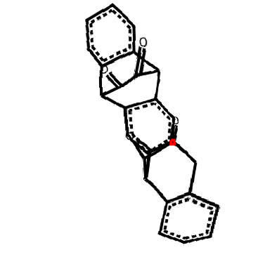 O=C1C(=O)C2c3ccccc3C1c1cc3c(cc12)C1C(=O)C(=O)C3c2ccccc21